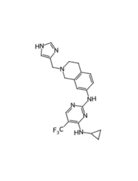 FC(F)(F)c1cnc(Nc2ccc3c(c2)CN(Cc2c[nH]cn2)CC3)nc1NC1CC1